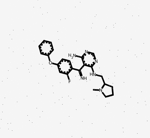 CN1CCCC1CNc1ncnc(N)c1C(=N)c1ccc(Oc2ccccc2)cc1F